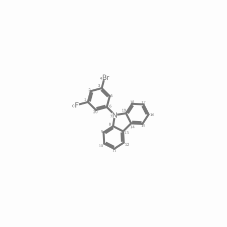 Fc1cc(Br)cc(-n2c3ccccc3c3ccccc32)c1